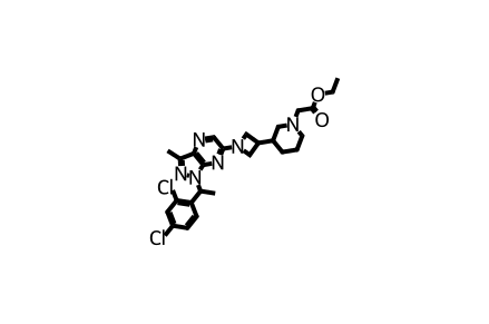 CCOC(=O)CN1CCCC(C2CN(c3cnc4c(C)nn(C(C)c5ccc(Cl)cc5Cl)c4n3)C2)C1